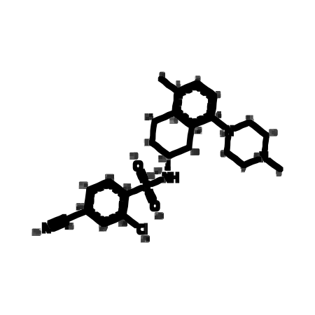 Cc1ccc(N2CCN(C)CC2)c2c1CC[C@@H](NS(=O)(=O)c1ccc(C#N)cc1Cl)C2